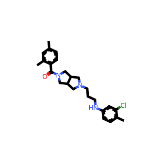 Cc1ccc(C(=O)N2CC3CN(CCCNc4ccc(C)c(Cl)c4)CC3C2)c(C)c1